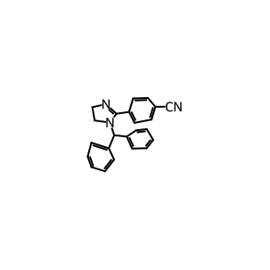 N#Cc1ccc(C2=NCCN2C(c2ccccc2)c2ccccc2)cc1